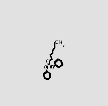 CCCCCCCOP(Oc1ccccc1)Oc1ccccc1